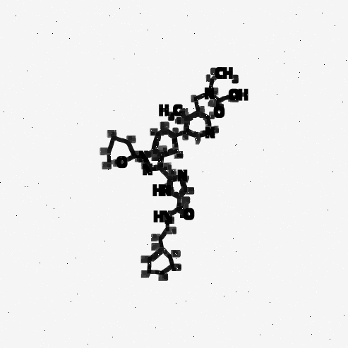 CCN(Cc1cncc(-c2ccc3c(c2)c(-c2ncc(C(=O)NCCC4=CCCCC4)[nH]2)nn3C2CCCCO2)c1C)C(=O)O